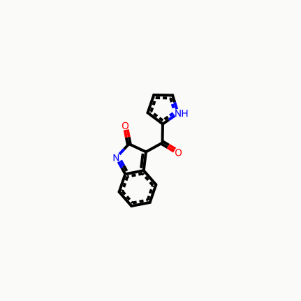 O=C1N=c2ccccc2=C1C(=O)c1ccc[nH]1